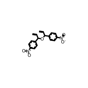 C=CC(OC(C=C)c1ccc([N+](=O)[O-])cc1)c1ccc([N+](=O)[O-])cc1